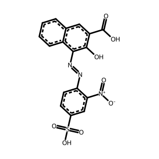 O=C(O)c1cc2ccccc2c(/N=N/c2ccc(S(=O)(=O)O)cc2[N+](=O)[O-])c1O